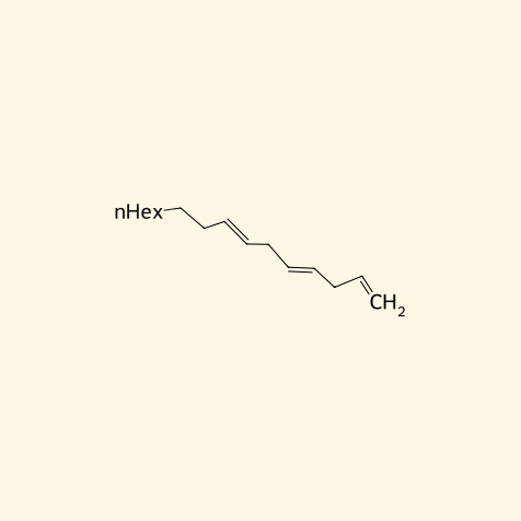 C=CCC=CCC=CCCCCCCCC